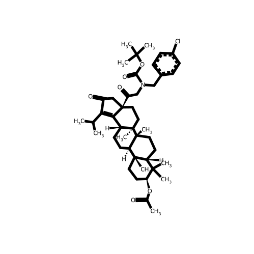 CC(=O)O[C@H]1CC[C@@]2(C)[C@H](CC[C@]3(C)[C@@H]2CC[C@@H]2C4=C(C(C)C)C(=O)C[C@]4(C(=O)CN(Cc4ccc(Cl)cc4)C(=O)OC(C)(C)C)CC[C@]23C)C1(C)C